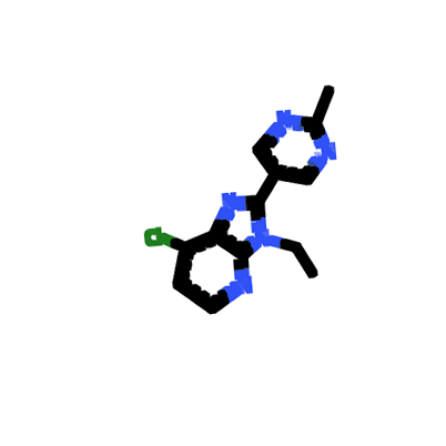 CCn1c(-c2cnc(C)nc2)nc2c(Cl)ccnc21